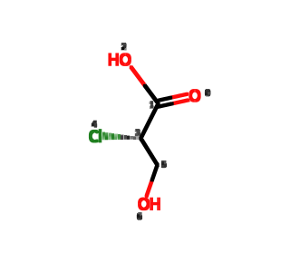 O=C(O)[C@@H](Cl)CO